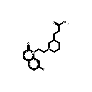 NC(=O)CCC1CCCN(CCn2c(=O)ccc3ncc(F)cc32)C1